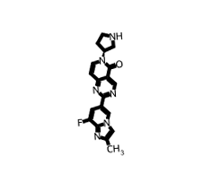 Cc1cn2cc(-c3ncc4c(=O)n([C@H]5CCNC5)ccc4n3)cc(F)c2n1